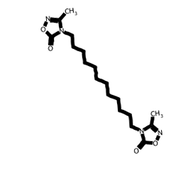 Cc1noc(=O)n1CCCCCCCCCCCCn1c(C)noc1=O